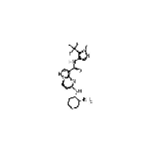 Cn1ncc(NC(=O)c2cnn3ccc(N[C@@H]4CCCC[C@@H]4N)nc23)c1C(F)(F)F